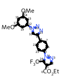 CCOC(=O)c1cnn(-c2ccc(-c3cn(-c4cc(OC)cc(OC)c4)nn3)cc2)c1C(F)(F)F